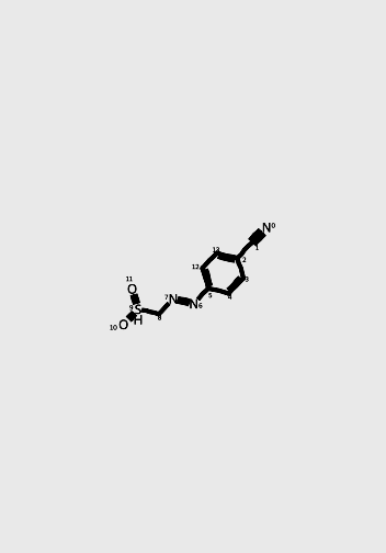 N#Cc1ccc(N=NC[SH](=O)=O)cc1